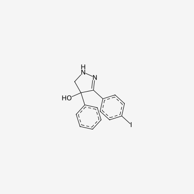 OC1(c2ccccc2)CNN=C1c1ccc(I)cc1